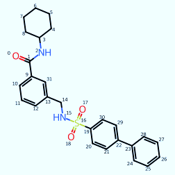 O=C(NC1CCCCC1)c1cccc(CNS(=O)(=O)c2ccc(-c3ccccc3)cc2)c1